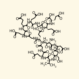 CC(C)[C@H](N)C(=O)N[C@@H](CC(=O)O)C(=O)N[C@@H](CO)C(=O)N[C@H](C(=O)N[C@@H](CCC(=O)O)C(=O)NCC(=O)N[C@@H](CCC(=O)O)C(=O)NCC(=O)N[C@@H](CCC(=O)O)C(=O)N[C@@H](CCC(=O)O)C(=O)N[C@@H](CCC(=O)O)C(=O)NCC(=O)N[C@@H](CCC(=O)O)C(=O)N[C@@H](CCC(=O)O)C(=O)O)C(C)C